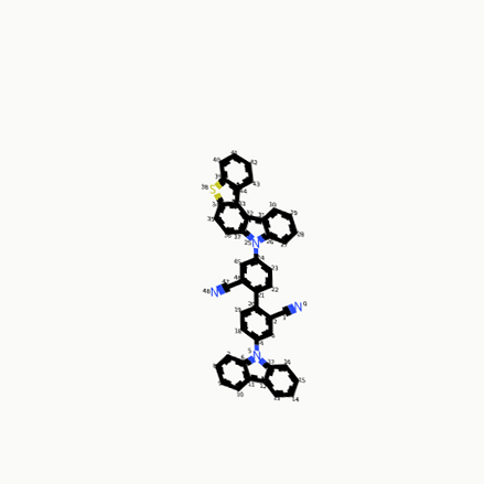 N#Cc1cc(-n2c3ccccc3c3ccccc32)ccc1-c1ccc(-n2c3ccccc3c3c4c(ccc32)sc2ccccc24)cc1C#N